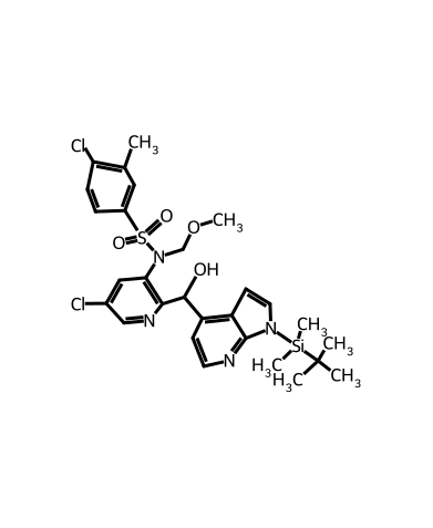 COCN(c1cc(Cl)cnc1C(O)c1ccnc2c1ccn2[Si](C)(C)C(C)(C)C)S(=O)(=O)c1ccc(Cl)c(C)c1